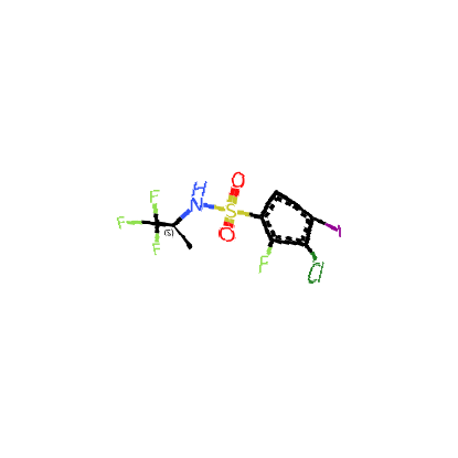 C[C@H](NS(=O)(=O)c1ccc(I)c(Cl)c1F)C(F)(F)F